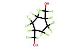 OC(F)(F)C1(F)C(F)(F)C(F)(F)C(F)(C(O)(F)F)C(F)(F)C1(F)F